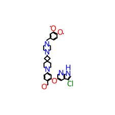 COc1ccc(CN2CCN(C3CC4(CCN(c5ccc(C=O)c(Oc6cnc7[nH]cc(Cl)c7c6)c5)CC4)C3)CC2)cc1OC